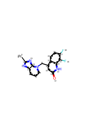 CC(C)c1nc2cccn(Cc3cc(=O)[nH]c4c(F)c(F)ccc34)c-2n1